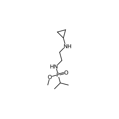 COP(=O)(NCCNC1CC1)C(C)C